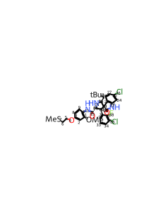 COc1cc(OCCSC)ccc1NC(=O)[C@@H]1N[C@@H](CC(C)(C)C)[C@@]2(C(=O)Nc3cc(Cl)ccc32)[C@H]1c1cccc(Cl)c1F